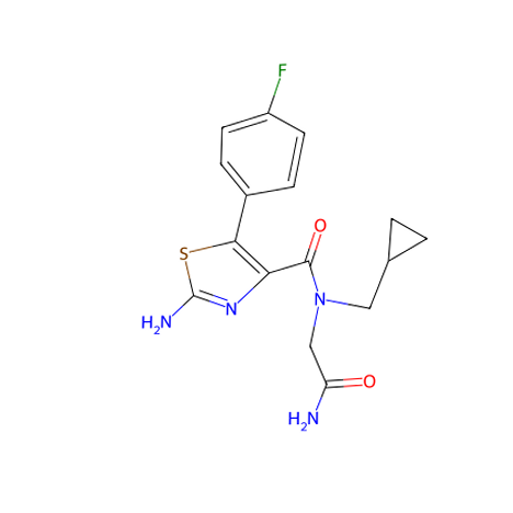 NC(=O)CN(CC1CC1)C(=O)c1nc(N)sc1-c1ccc(F)cc1